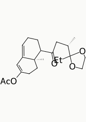 CCC1([C@@H](C)CC(=O)C2CCC=C3C=C(OC(C)=O)CC[C@@]32C)OCCO1